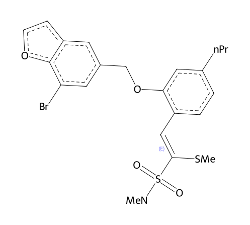 CCCc1ccc(/C=C(\SC)S(=O)(=O)NC)c(OCc2cc(Br)c3occc3c2)c1